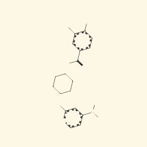 CN(C)c1ccnc(N[C@H]2CC[C@@H](NC(=O)c3ccc(F)c(Cl)c3)CC2)c1.Cl